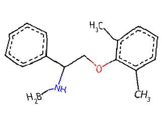 BNC(COc1c(C)cccc1C)c1ccccc1